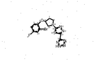 Fc1ccc(O[C@H]2CCN(c3nnc(-c4nn[nH]n4)s3)C2)c(Br)c1